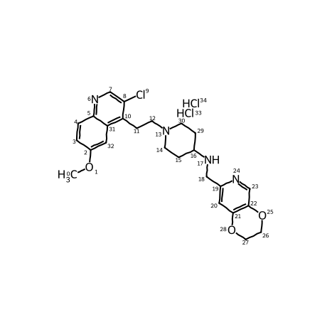 COc1ccc2ncc(Cl)c(CCN3CCC(NCc4cc5c(cn4)OCCO5)CC3)c2c1.Cl.Cl